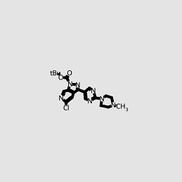 CN1CCN(c2ncc(-c3nn(C(=O)OC(C)(C)C)c4cnc(Cl)cc34)cn2)CC1